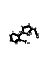 O=Cc1ccn(-c2ccccc2F)n1